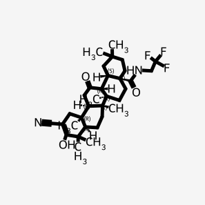 CC1(C)CC[C@]2(C(=O)NCC(F)(F)F)CC[C@]3(C)[C@H](C(=O)C[C@@H]4[C@@]5(C)CC(C#N)=C(O)C(C)(C)[C@@H]5CC[C@]43C)[C@@H]2C1